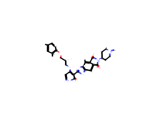 Cc1ccc(OC[C@H](O)CNc2cc[nH]c(=O)c2-c2nc3c(C)c4c(cc3[nH]2)C(=O)N(C2CCN(C)CC2)C4=O)c(C)c1